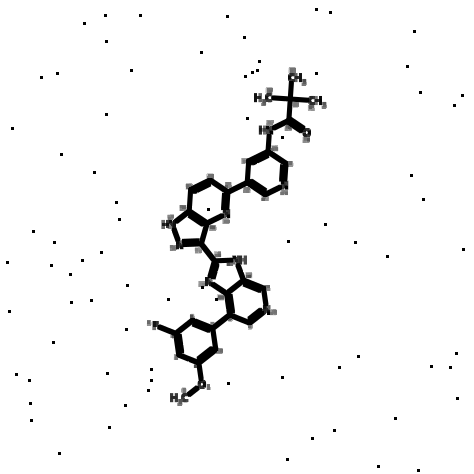 COc1cc(F)cc(-c2cncc3[nH]c(-c4n[nH]c5ccc(-c6cncc(NC(=O)C(C)(C)C)c6)nc45)nc23)c1